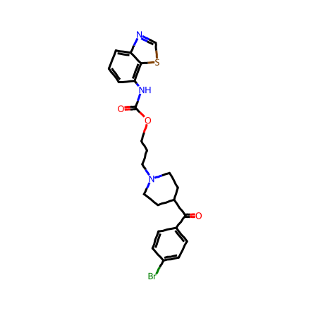 O=C(Nc1cccc2ncsc12)OCCCN1CCC(C(=O)c2ccc(Br)cc2)CC1